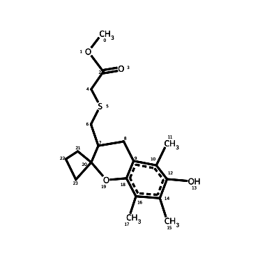 COC(=O)CSCC1Cc2c(C)c(O)c(C)c(C)c2OC12CCC2